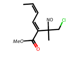 C/C=C\C=C(\C(=O)OC)C(C)(CCl)N=O